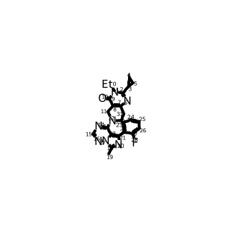 CCn1c(C2CC2)nc2c(c1=O)CN(c1ncnn3c(C)nc(-c4ccccc4F)c13)CC2